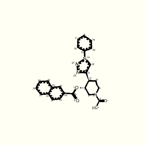 O=C(O[C@H]1CN(C(=O)O)CC[C@@H]1c1cn(-c2ccccc2)nn1)c1ccc2ccccc2c1